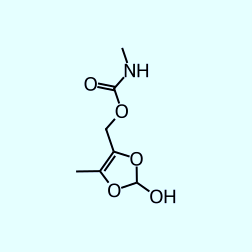 CNC(=O)OCC1=C(C)OC(O)O1